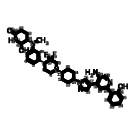 CN(c1cccc([C@H]2CCN([C@H]3CC[C@H](n4cc(-c5cc(-c6ccccc6O)nnc5N)cn4)CC3)CC2(F)F)c1)[C@H]1CCC(=O)NC1O